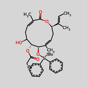 CC=C(C)[C@H]1CC=C(C)[C@@H](O[Si](c2ccccc2)(c2ccccc2)C(C)(C)C)[C@H](OC(=O)CC(C)C)C(O)CC=C(C)C(=O)O1